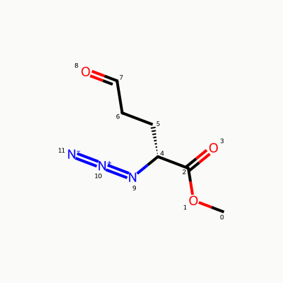 COC(=O)[C@@H](CCC=O)N=[N+]=[N-]